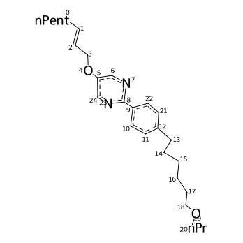 CCCCCC=CCOc1cnc(-c2ccc(CCCCCCOCCC)cc2)nc1